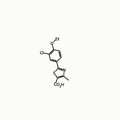 CCOc1ccc(-c2nc(C)c(C(=O)O)s2)cc1Cl